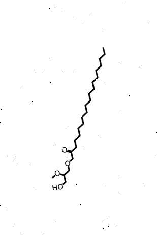 CCCCCCCCCCCCCCCCCCC(=O)COCC(CO)OC